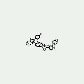 O=C(Nc1cn2nc(-c3c(-c4ccc(F)cc4)nc4n3CCOC4)ccc2n1)c1ccnc(N2CCOCC2)c1